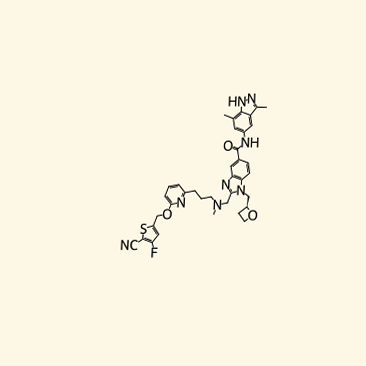 Cc1n[nH]c2c(C)cc(NC(=O)c3ccc4c(c3)nc(CN(C)CCCc3cccc(OCc5cc(F)c(C#N)s5)n3)n4C[C@@H]3CCO3)cc12